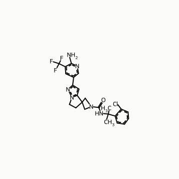 CC(C)(NC(=O)N1CC2(CCn3nc(-c4cnc(N)c(C(F)(F)F)c4)cc32)C1)c1ccccc1Cl